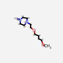 COCCCCOCCN1CCN(I)CC1